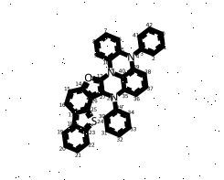 c1ccc(N2c3ccccc3N3c4oc5ccc6c7ccccc7sc6c5c4N(c4ccccc4)c4cccc2c43)cc1